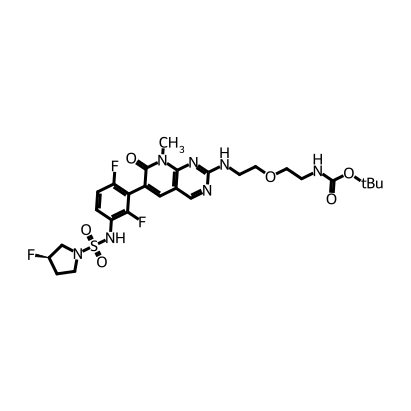 Cn1c(=O)c(-c2c(F)ccc(NS(=O)(=O)N3CC[C@@H](F)C3)c2F)cc2cnc(NCCOCCNC(=O)OC(C)(C)C)nc21